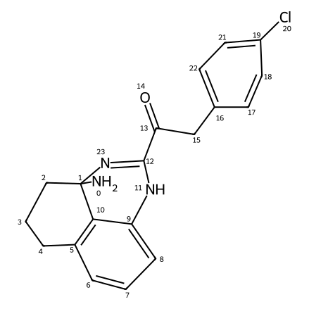 NC12CCCc3cccc(c31)NC(C(=O)Cc1ccc(Cl)cc1)=N2